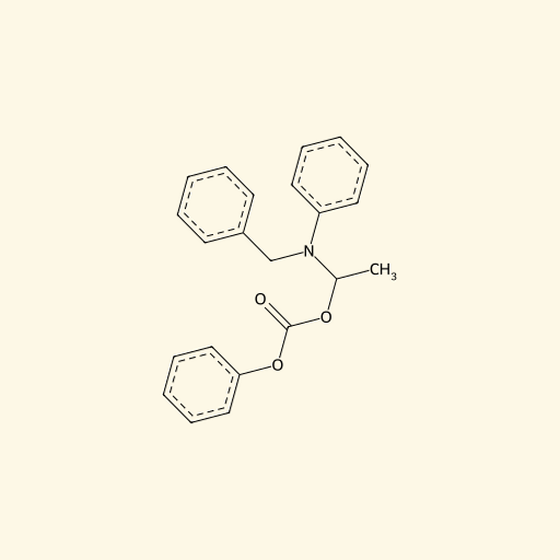 CC(OC(=O)Oc1ccccc1)N(Cc1ccccc1)c1ccccc1